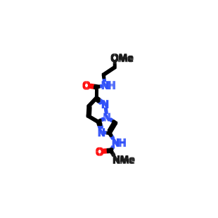 CNC(=O)Nc1cn2nc(C(=O)NCCOC)ccc2n1